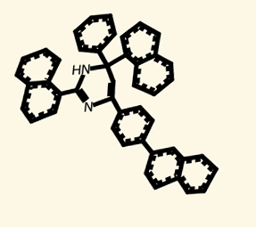 C1=C(c2ccc(-c3ccc4ccccc4c3)cc2)N=C(c2cccc3ccccc23)NC1(c1ccccc1)c1cccc2ccccc12